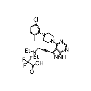 CCN(CC)CC#Cc1n[nH]c2ncnc(N3CCN(c4cc(Cl)ccc4C)CC3)c12.O=C(O)C(F)(F)F